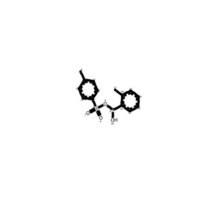 Cc1ccc(S(=O)(=O)OI(O)c2ccccc2C)cc1